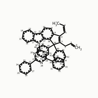 C=CCC1=C(/C=C\C)c2ccc3c4ccccc4n(-c4nc(-c5ccccc5)nc(-c5ccccc5)n4)c3c2C1(c1ccccc1)c1ccccc1